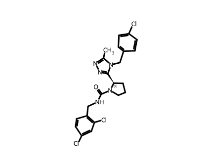 Cc1nnc([C@H]2CCCN2C(=O)NCc2ccc(Cl)cc2Cl)n1Cc1ccc(Cl)cc1